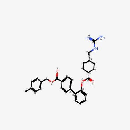 Cc1ccc(COC(=O)c2ccc(-c3ccccc3OC(=O)[C@H]3CC[C@H](CNC(=N)N)CC3)cc2)cc1